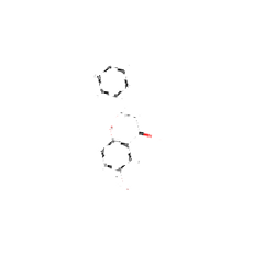 O=C1C[C@@H](c2ccccc2)Oc2ccc(Br)cc21